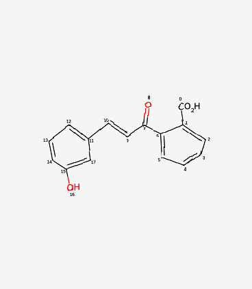 O=C(O)c1ccccc1C(=O)C=Cc1cccc(O)c1